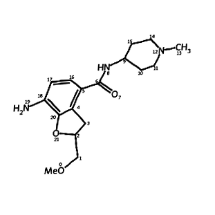 COCC1Cc2c(C(=O)NC3CCN(C)CC3)ccc(N)c2O1